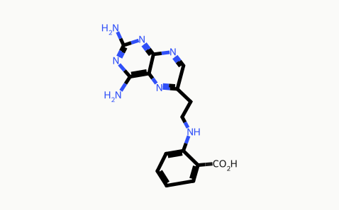 Nc1nc(N)c2nc(CCNc3ccccc3C(=O)O)cnc2n1